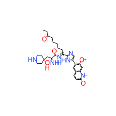 CCC(=O)CCCCC[C@H](NC(=O)C(=N)CC1(O)CCNCC1)c1ncc(-c2cc3ccc(=O)n(C)c3cc2OC)[nH]1